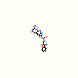 CN(Cc1oc2ccccc2c1Cl)C(=O)/C=C/C1(C)C=C2CNCC(=O)NC2=NC1